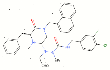 CCCN(C(=O)NCc1ccc(Cl)c(Cl)c1)N(CC=O)[C@H]1CN(Cc2cccc3ccccc23)C(=O)[C@H](Cc2ccccc2)N1C